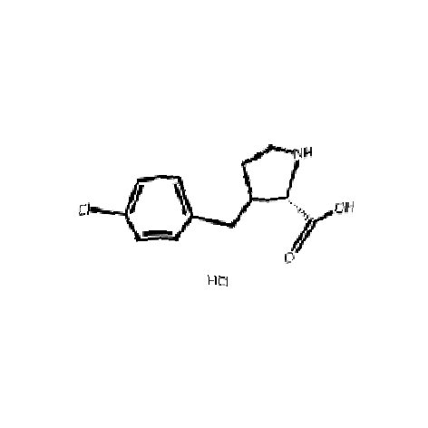 Cl.O=C(O)[C@H]1NCCC1Cc1ccc(Cl)cc1